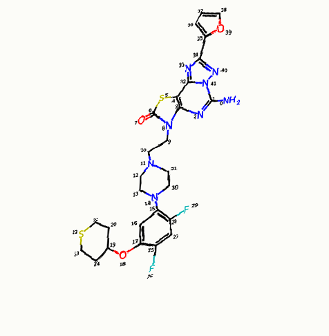 Nc1nc2c(sc(=O)n2CCN2CCN(c3cc(OC4CCSCC4)c(F)cc3F)CC2)c2nc(-c3ccco3)nn12